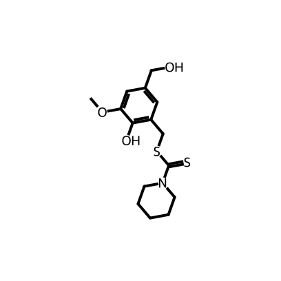 COc1cc(CO)cc(CSC(=S)N2CCCCC2)c1O